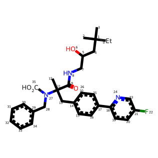 CCC(C)(C)CC(O)CNC(=O)C(C)(Cc1ccc(-c2ccc(F)cn2)cc1)N(Cc1ccccc1)C(=O)O